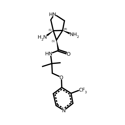 CC(C)(COc1ccncc1C(F)(F)F)NC(=O)[C@H]1[C@]2(N)CNC[C@]12N